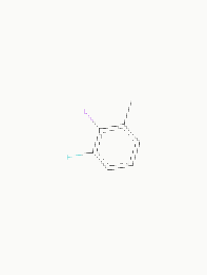 Cc1cc[c]c(F)c1I